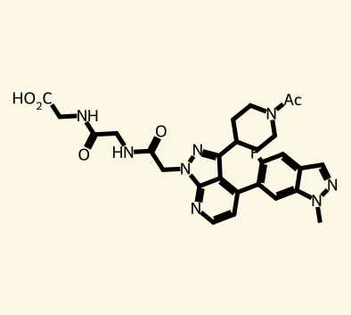 CC(=O)N1CCC(c2nn(CC(=O)NCC(=O)NCC(=O)O)c3nccc(-c4cc5c(cnn5C)cc4F)c23)CC1